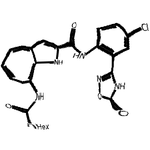 CCCCCCC(=O)Nc1cccc2cc(C(=O)Nc3ccc(Cl)cc3-c3noc(=O)[nH]3)[nH]c12